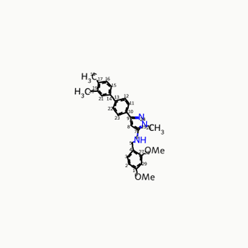 COc1ccc(CNc2cc(-c3ccc(-c4ccc(C)c(C)c4)cc3)nn2C)c(OC)c1